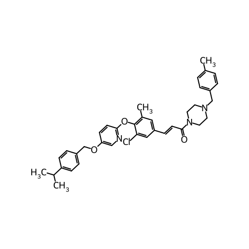 Cc1ccc(CN2CCN(C(=O)/C=C/c3cc(C)c(Oc4ccc(OCc5ccc(C(C)C)cc5)cn4)c(Cl)c3)CC2)cc1